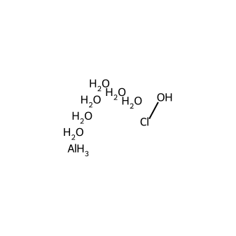 O.O.O.O.O.O.OCl.[AlH3]